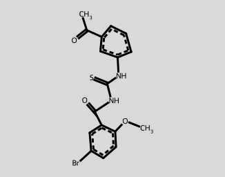 COc1ccc(Br)cc1C(=O)NC(=S)Nc1cccc(C(C)=O)c1